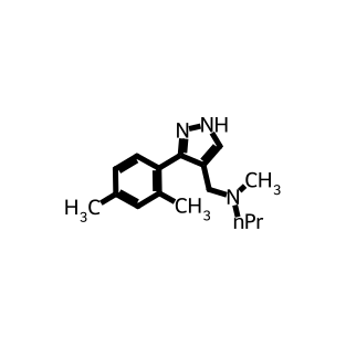 CCCN(C)Cc1c[nH]nc1-c1ccc(C)cc1C